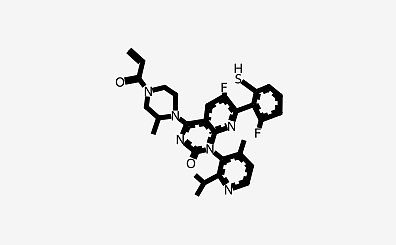 C=CC(=O)N1CCN(c2nc(=O)n(-c3c(C)ccnc3C(C)C)c3nc(-c4c(F)cccc4S)c(F)cc23)C(C)C1